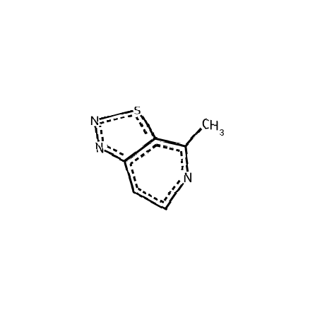 Cc1nccc2nnsc12